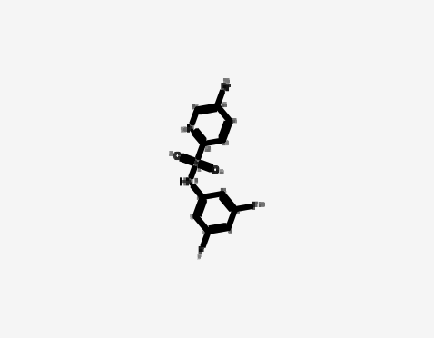 O=S(=O)(Nc1cc(F)cc(F)c1)c1ccc(Br)cn1